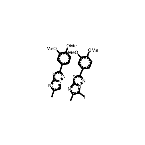 COc1ccc(-c2nn3c(I)c(C)nc3s2)cc1OC.COc1ccc(-c2nn3cc(C)nc3s2)cc1OC